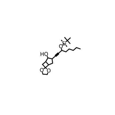 CCCCCC(C#CC1CC2C(CC23OCCO3)C1O)O[Si](C)(C)C(C)(C)C